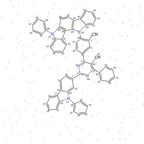 N#Cc1cc(-c2nc(-c3ccc4c5ccccc5n(-c5ccccc5)c4c3)nc(-c3ccccc3)c2C#N)ccc1-n1c2ccccc2c2ccc3c(c4ccccc4n3-c3ccccc3)c21